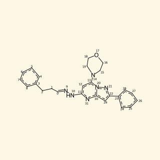 C(CCc1ccccc1)=NNc1cc(N2CCOCC2)n2nc(-c3ccccc3)cc2n1